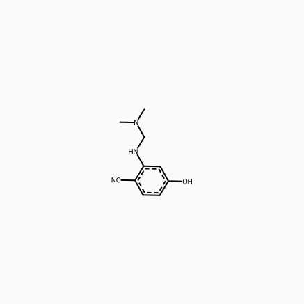 CN(C)CNc1cc(O)ccc1C#N